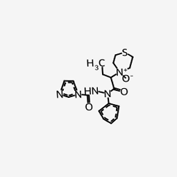 CCC(C(=O)N(NC(=O)n1ccnc1)c1ccccc1)[N+]1([O-])CCSCC1